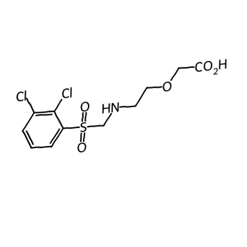 O=C(O)COCCNCS(=O)(=O)c1cccc(Cl)c1Cl